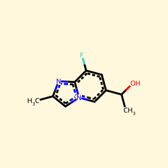 Cc1cn2cc(C(C)O)cc(F)c2n1